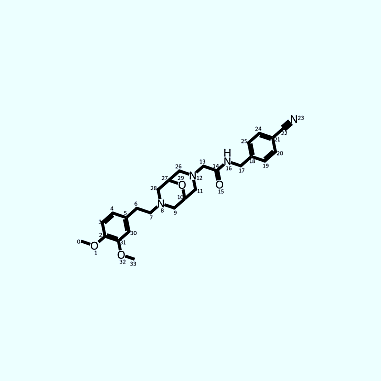 COc1ccc(CCN2CC3CN(CC(=O)NCc4ccc(C#N)cc4)CC(C2)O3)cc1OC